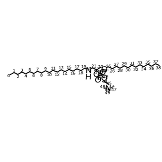 CCCCCCCCCCCCCCCCCCCCNCC(COCCCCCCCCCCCCCC)OP(=O)([O-])OCC[N+](C)(C)C